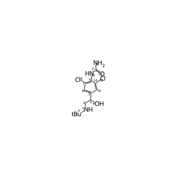 CC(C)(C)NCC(O)c1cc(Cl)c(NC(N)=O)c(Cl)c1